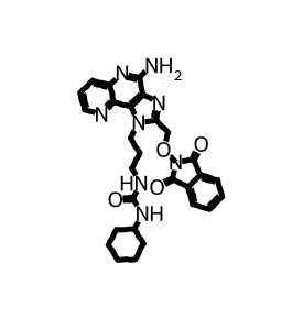 Nc1nc2cccnc2c2c1nc(CON1C(=O)c3ccccc3C1=O)n2CCCNC(=O)NC1CCCCC1